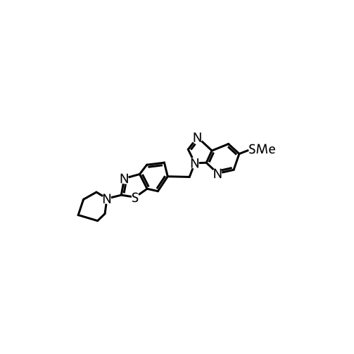 CSc1cnc2c(c1)ncn2Cc1ccc2nc(N3CCCCC3)sc2c1